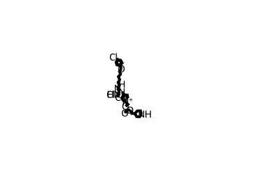 N#CNC(=NCCCCCCOc1ccc(Cl)cc1)Nc1cc[n+](COC(=O)OCC2CCNCC2)cc1.[Cl-]